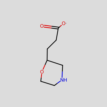 [O]C(=O)CCC1CNCCO1